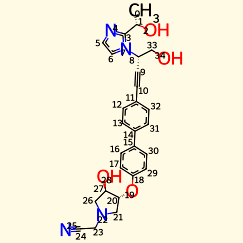 C[C@H](O)c1nccn1[C@@H](C#Cc1ccc(-c2ccc(O[C@@H]3CN(CC#N)C[C@H]3O)cc2)cc1)CO